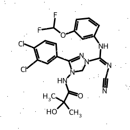 CC(C)(O)C(=O)NN1CN(/C(=N\C#N)Nc2cccc(OC(F)F)c2)N=C1c1ccc(Cl)c(Cl)c1